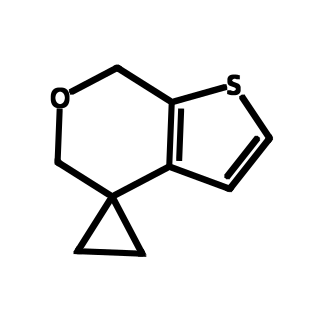 c1cc2c(s1)COCC21CC1